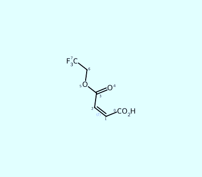 O=C(O)/C=C\C(=O)OCC(F)(F)F